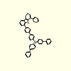 C1=CCCC(C2=CCCc3c2sc2c(-c4ccc(-c5ccc(N(c6ccc(-c7ccccc7)cc6)c6ccc(-c7ccccc7)cc6)cc5)cc4)cccc32)=C1